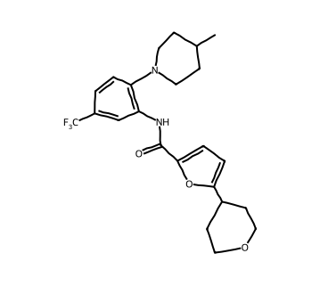 CC1CCN(c2ccc(C(F)(F)F)cc2NC(=O)c2ccc(C3CCOCC3)o2)CC1